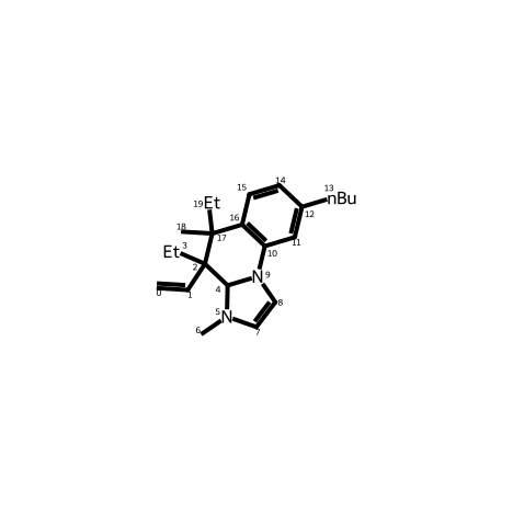 C=CC1(CC)C2N(C)C=CN2c2cc(CCCC)ccc2C1(C)CC